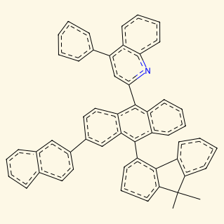 CC1(C)c2ccccc2-c2c(-c3c4ccccc4c(-c4cc(-c5ccccc5)c5ccccc5n4)c4ccc(-c5ccc6ccccc6c5)cc34)cccc21